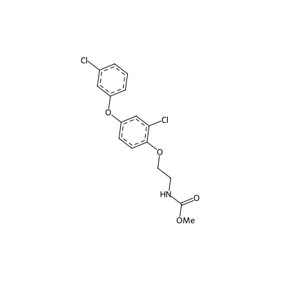 COC(=O)NCCOc1ccc(Oc2cccc(Cl)c2)cc1Cl